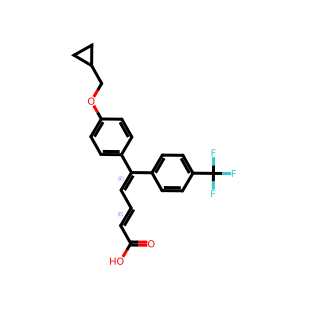 O=C(O)/C=C/C=C(/c1ccc(OCC2CC2)cc1)c1ccc(C(F)(F)F)cc1